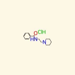 Cl.O=C(NCCN1CCCCC1)c1ccccc1